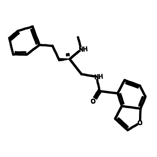 CN[C@H](CCc1ccccc1)CNC(=O)c1cccc2occc12